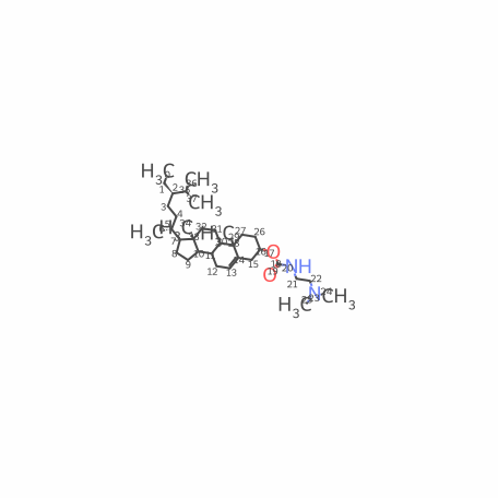 CC[C@H](CC[C@@H](C)C1CCC2C3CC=C4CC(OC(=O)NCCN(C)C)CCC4(C)C3CCC21C)C(C)C